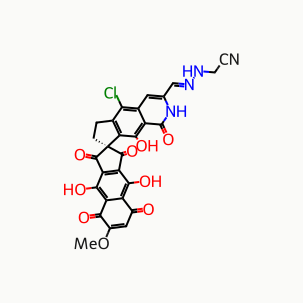 COC1=CC(=O)c2c(O)c3c(c(O)c2C1=O)C(=O)[C@]1(CCc2c1c(O)c1c(=O)[nH]c(C=NNCC#N)cc1c2Cl)C3=O